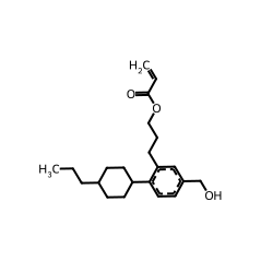 C=CC(=O)OCCCc1cc(CO)ccc1C1CCC(CCC)CC1